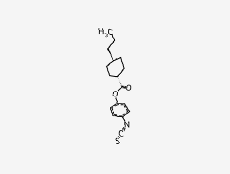 CCC[C@H]1CC[C@H](C(=O)Oc2ccc(N=C=S)cc2)CC1